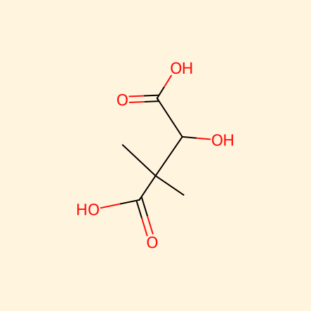 CC(C)(C(=O)O)C(O)C(=O)O